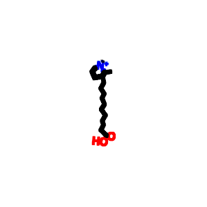 Cc1c(CCCCCCCCCCC(=O)O)ccc[n+]1C